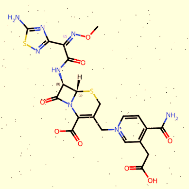 CO/N=C(\C(=O)N[C@@H]1C(=O)N2C(C(=O)[O-])=C(C[n+]3ccc(C(N)=O)c(CC(=O)O)c3)CS[C@@H]12)c1nsc(N)n1